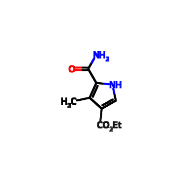 CCOC(=O)c1c[nH]c(C(N)=O)c1C